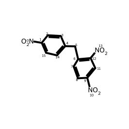 O=[N+]([O-])c1ccc(Cc2ccc([N+](=O)[O-])cc2[N+](=O)[O-])cc1